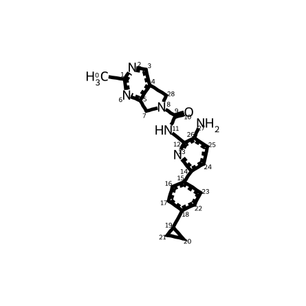 Cc1ncc2c(n1)CN(C(=O)Nc1nc(-c3ccc(C4CC4)cc3)ccc1N)C2